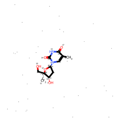 Cc1cn([C@H]2C[C@H](O)[C@](CO)(C(F)(F)F)O2)c(=O)[nH]c1=O